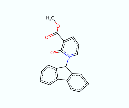 COC(=O)c1cccn(C2c3ccccc3-c3ccccc32)c1=O